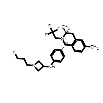 [CH2]c1ccc2c(c1)C[C@H](C)N(CC(F)(F)F)[C@H]2c1ccc(NC2CN(CCCF)C2)cc1